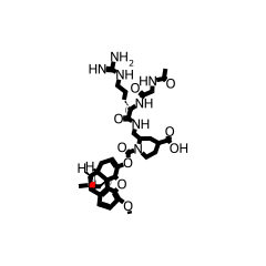 COc1ccc2c3c1OC1C(OC(=O)N4CCC(C(=O)O)CC4CNC(=O)[C@H](CCCNC(=N)N)NC(=O)CNC(C)=O)=CC[C@H]4[C@@H](C2)N(C)CC[C@]314